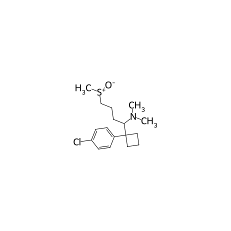 CN(C)C(CCC[S+](C)[O-])C1(c2ccc(Cl)cc2)CCC1